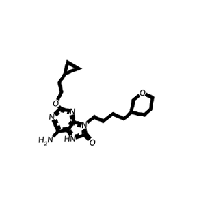 Nc1nc(OCCC2CC2)nc2c1[nH]c(=O)n2CCCCC1CCCOC1